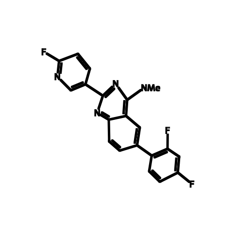 CNc1nc(-c2ccc(F)nc2)nc2ccc(-c3ccc(F)cc3F)cc12